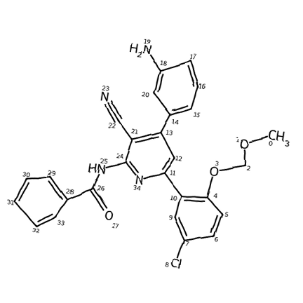 COCOc1ccc(Cl)cc1-c1cc(-c2cccc(N)c2)c(C#N)c(NC(=O)c2ccccc2)n1